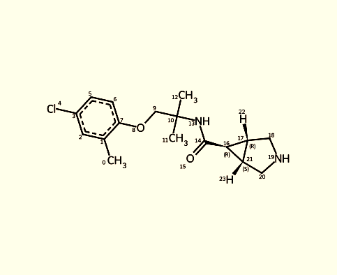 Cc1cc(Cl)ccc1OCC(C)(C)NC(=O)[C@H]1[C@@H]2CNC[C@@H]21